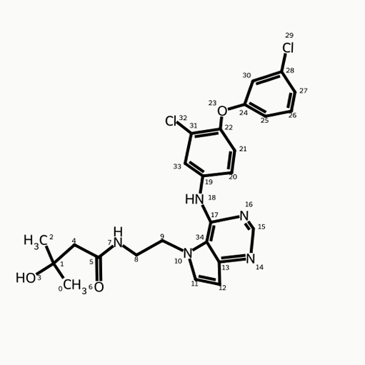 CC(C)(O)CC(=O)NCCn1ccc2ncnc(Nc3ccc(Oc4cccc(Cl)c4)c(Cl)c3)c21